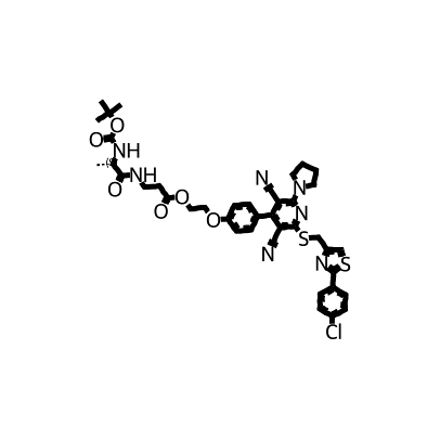 C[C@H](NC(=O)OC(C)(C)C)C(=O)NCCC(=O)OCCOc1ccc(-c2c(C#N)c(SCc3csc(-c4ccc(Cl)cc4)n3)nc(N3CCCC3)c2C#N)cc1